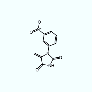 C=C1C(=O)NC(=O)N1c1cccc([N+](=O)[O-])c1